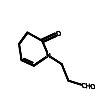 O=CCCN1C=CCCC1=O